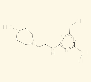 CSc1nc(NCl)nc(NCCN2CCN(C)CC2)n1